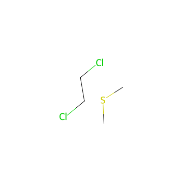 CSC.ClCCCl